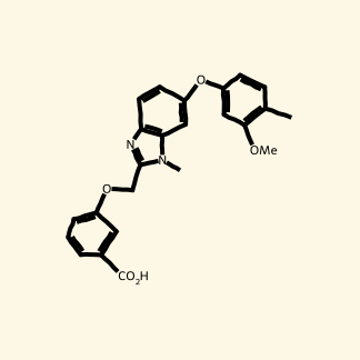 COc1cc(Oc2ccc3nc(COc4cccc(C(=O)O)c4)n(C)c3c2)ccc1C